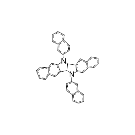 c1ccc2cc(N3c4cc5ccccc5cc4C4C3c3cc5ccccc5cc3N4c3ccc4ccccc4c3)ccc2c1